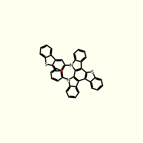 c1ccc(-n2c3ccccc3c3c4c5ccccc5sc4c4c5ccccc5n(-c5ccc6sc7ccccc7c6c5)c4c32)cc1